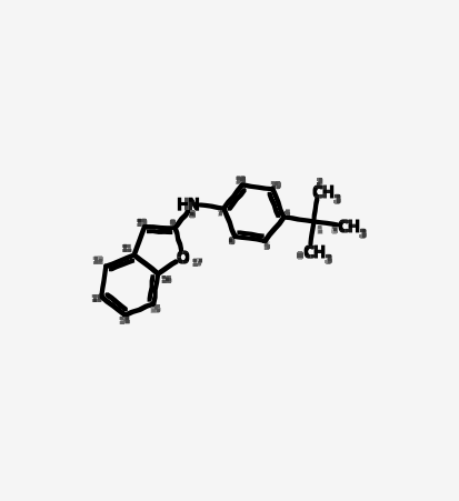 CC(C)(C)c1ccc(Nc2cc3ccccc3o2)cc1